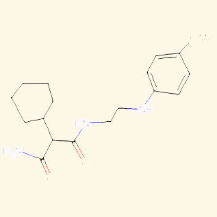 COc1ccc(NCCNC(=O)C(C(N)=O)C2CCCCC2)cc1